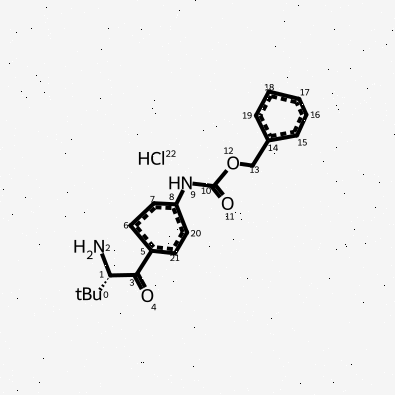 CC(C)(C)[C@H](N)C(=O)c1ccc(NC(=O)OCc2ccccc2)cc1.Cl